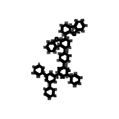 c1ccc(-c2cc(-c3ccccc3)cc(-c3nc(-c4ccccc4)nc(-c4ccc(-c5ccc(-c6cccc7c6oc6ccccc67)c6oc7ccccc7c56)cc4)n3)c2)cc1